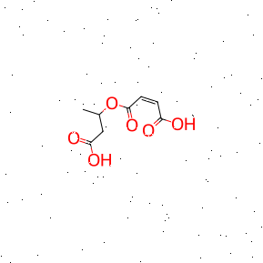 CC(CC(=O)O)OC(=O)/C=C\C(=O)O